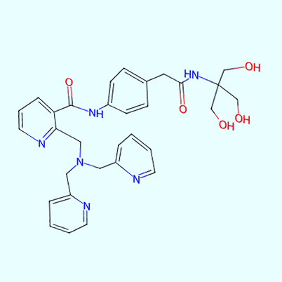 O=C(Cc1ccc(NC(=O)c2cccnc2CN(Cc2ccccn2)Cc2ccccn2)cc1)NC(CO)(CO)CO